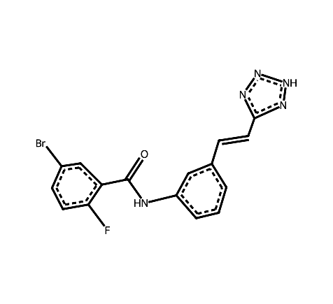 O=C(Nc1cccc(C=Cc2nn[nH]n2)c1)c1cc(Br)ccc1F